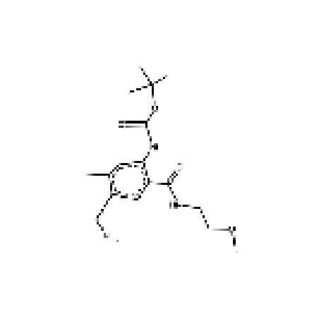 COCCNC(=O)c1cc(CN)c(C)cc1NC(=O)OC(C)(C)C